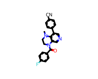 CN1CCN(C(=O)c2ccc(F)cc2)c2cncc(-c3ccc(C#N)cc3)c21